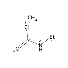 C.CCNC(=O)Cl